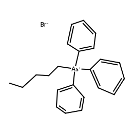 CCCCC[As+](c1ccccc1)(c1ccccc1)c1ccccc1.[Br-]